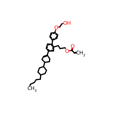 C=CC(=O)OCCCc1cc(C2=CCC(C3CCC(CCCCC)CC3)CC2)ccc1-c1ccc(OCCO)cc1